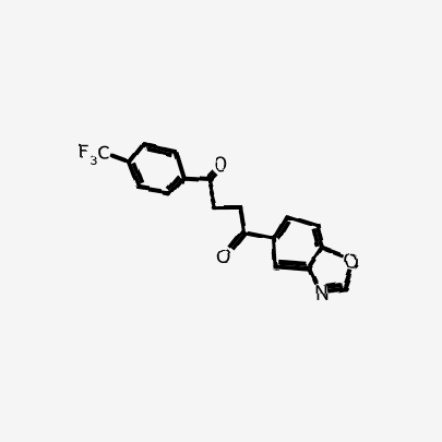 O=C(CCC(=O)c1ccc2ocnc2c1)c1ccc(C(F)(F)F)cc1